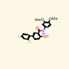 COc1ccc(NC(=O)c2cc(-c3ccc(F)cc3F)ccc2O)cc1OC